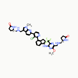 COc1nc(N[C@H]2CCc3c(-c4nccc(-c5ccc6c(CNC[C@@H]7CCC(=O)N7)cn(C)c6n5)c4Cl)cccc32)c(C(F)(F)F)nc1CNC[C@H]1CCC(=O)N1